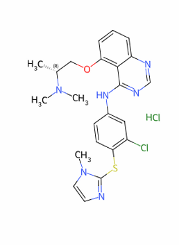 C[C@H](COc1cccc2ncnc(Nc3ccc(Sc4nccn4C)c(Cl)c3)c12)N(C)C.Cl